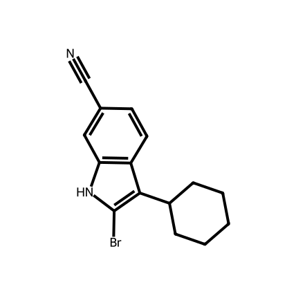 N#Cc1ccc2c(C3CCCCC3)c(Br)[nH]c2c1